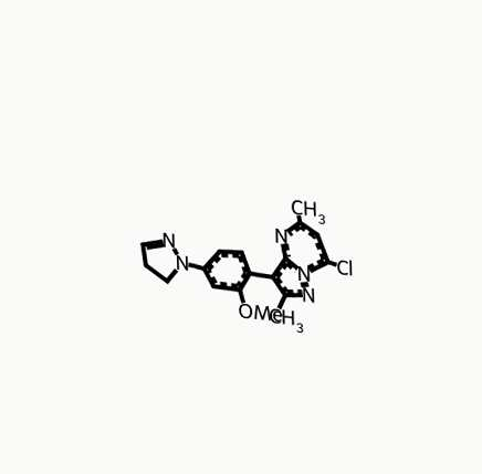 COc1cc(N2CCC=N2)ccc1-c1c(C)nn2c(Cl)cc(C)nc12